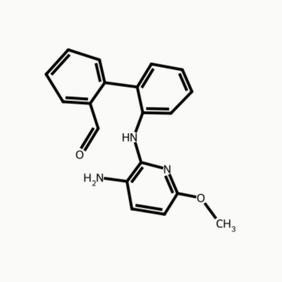 COc1ccc(N)c(Nc2ccccc2-c2ccccc2C=O)n1